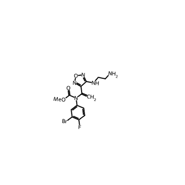 C=C(c1nonc1NCCN)N(C(=O)OC)c1ccc(F)c(Br)c1